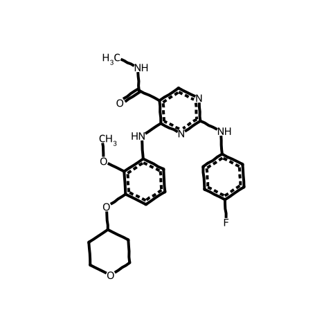 CNC(=O)c1cnc(Nc2ccc(F)cc2)nc1Nc1cccc(OC2CCOCC2)c1OC